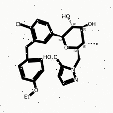 CCOc1ccc(Cc2cc([C@@H]3O[C@H](Cn4nccc4C(=O)O)[C@@H](C)[C@H](O)[C@H]3O)ccc2Cl)cc1